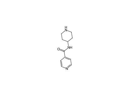 O=C(NC1CCNCC1)c1ccncc1